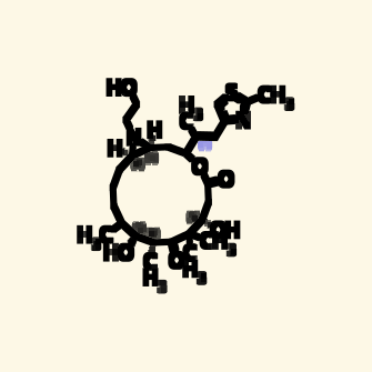 C/C(=C\c1csc(C)n1)C1C[C@H]2[C@@H](CCCC(C)[C@H](O)[C@@H](C)C(=O)C(C)(C)[C@@H](O)CC(=O)O1)N2CCO